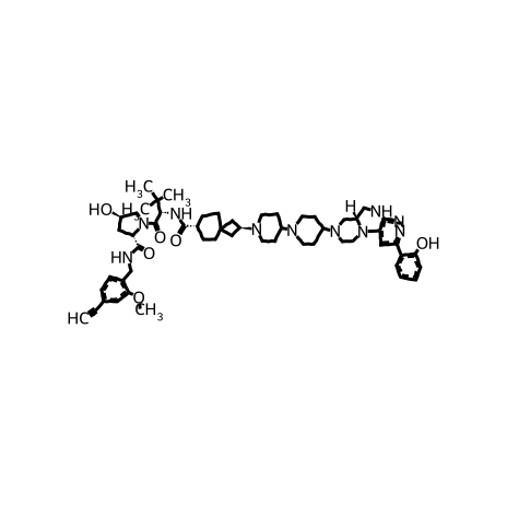 C#Cc1ccc(CNC(=O)[C@@H]2C[C@@H](O)CN2C(=O)[C@@H](NC(=O)[C@H]2CCC3(CC2)C[C@H](N2CCC(N4CCC(N5CCN6c7cc(-c8ccccc8O)nnc7NC[C@H]6C5)CC4)CC2)C3)C(C)(C)C)c(OC)c1